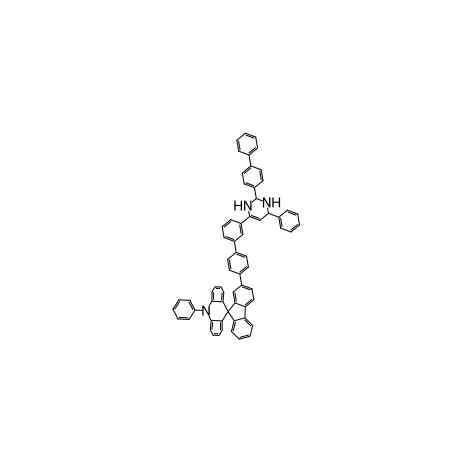 C1=C(c2cccc(-c3ccc(-c4ccc5c(c4)C4(c6ccccc6-5)c5ccccc5N(c5ccccc5)c5ccccc54)cc3)c2)NC(c2ccc(-c3ccccc3)cc2)NC1c1ccccc1